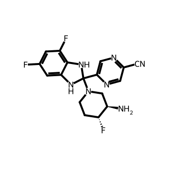 N#Cc1cnc(C2(N3CC[C@@H](F)[C@H](N)C3)Nc3cc(F)cc(F)c3N2)cn1